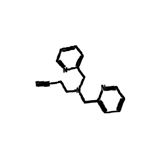 C#CCCN(Cc1ccccn1)Cc1ccccn1